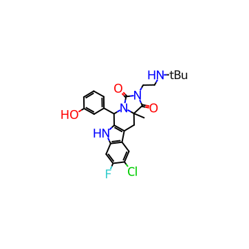 CC(C)(C)NCCN1C(=O)N2C(c3cccc(O)c3)c3[nH]c4cc(F)c(Cl)cc4c3CC2(C)C1=O